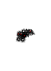 CCCCN(Cc1ccc(-c2ccccc2-c2nnnn2C(c2ccccc2)(c2ccccc2)c2ccccc2)cc1)c1nc(C(F)(F)F)ncc1C(=O)OCC